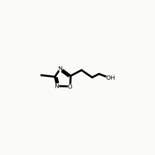 Cc1noc(CCCO)n1